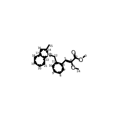 COC(=O)C(=Cc1ccccc1Cn1c(C)cc2ccccc21)OC